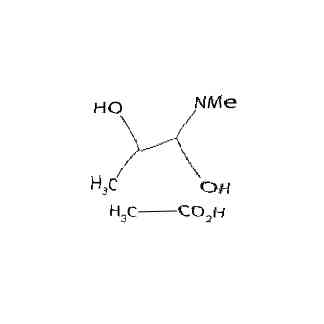 CC(=O)O.CNC(O)C(C)O